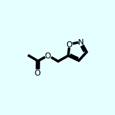 CC(=O)OCc1ccno1